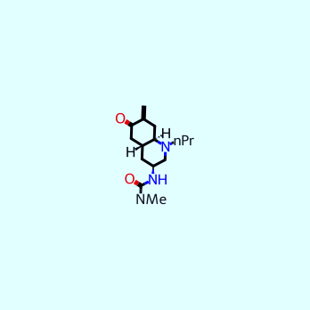 C=C1C[C@@H]2[C@@H](CC1=O)C[C@H](NC(=O)NC)CN2CCC